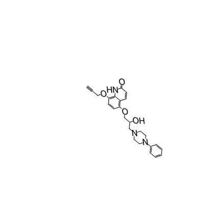 C#CCOc1ccc(OCC(O)CN2CCN(c3ccccc3)CC2)c2ccc(=O)[nH]c12